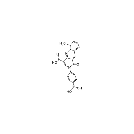 Cc1cccc2cc3c(=O)n(-c4ccc(B(O)O)cc4)cc(C(=O)O)c3nc12